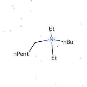 CCCCCC[N+](CC)(CC)CCCC